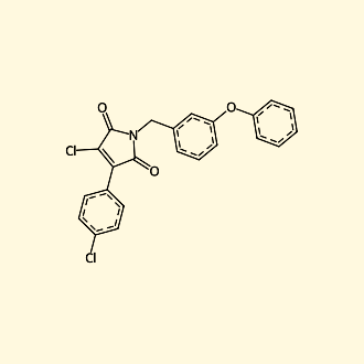 O=C1C(Cl)=C(c2ccc(Cl)cc2)C(=O)N1Cc1cccc(Oc2ccccc2)c1